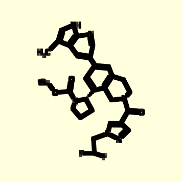 Cc1c[nH]c2ncc(-c3cc4c(c([C@@H]5CCCN5C(=O)OC(C)(C)C)c3)CN(C(=O)c3cnn(CC(F)F)c3)CC4)cc12